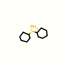 C1CCC(SC2CCCCC2)CC1.P